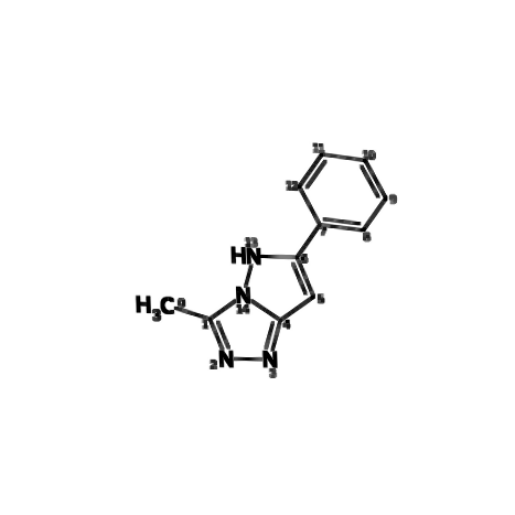 Cc1nnc2cc(-c3ccccc3)[nH]n12